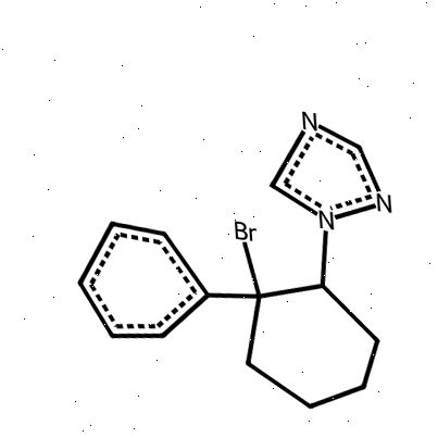 BrC1(c2ccccc2)CCCCC1n1cncn1